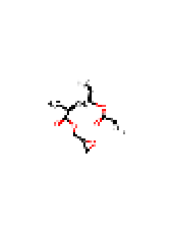 C=C(C)C(=O)OCC1CO1.C=C=COC(=O)C=C